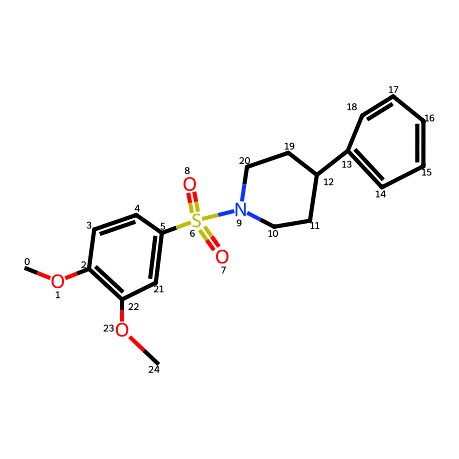 COc1ccc(S(=O)(=O)N2CCC(c3ccccc3)CC2)cc1OC